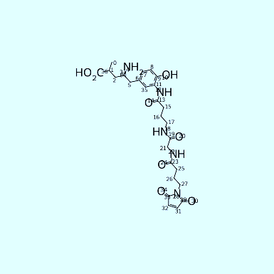 CC(C[C@@H](N)Cc1ccc(O)c(NC(=O)CCCNC(=O)CNC(=O)CCCN2C(=O)C=CC2=O)c1)C(=O)O